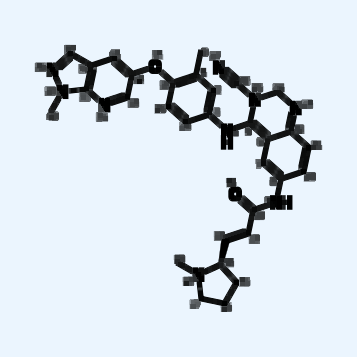 Cc1cc(NC2=c3cc(NC(=O)/C=C/[C@H]4CCCN4C)ccc3=NCN2C#N)ccc1Oc1cnc2c(cnn2C)c1